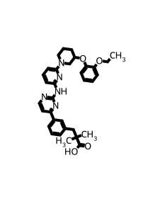 CCOc1ccccc1OC1CCCN(c2cccc(Nc3nccc(-c4cccc(CC(C)(C)C(=O)O)c4)n3)n2)C1